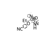 CC[C@@H](C[C@@H]1CC[C@H](C)N1CS(=O)(=O)c1c(C)n[nH]c1C)Oc1ccc(C#N)cc1